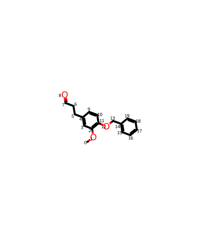 COc1cc(CCC=O)ccc1OCc1ccccc1